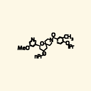 CCCO[C@H]1C[C@@H](c2cncc(OC)c2)OC2(CCN(C(=O)c3ccc(OC(C)C)c(C)c3)CC2)C1